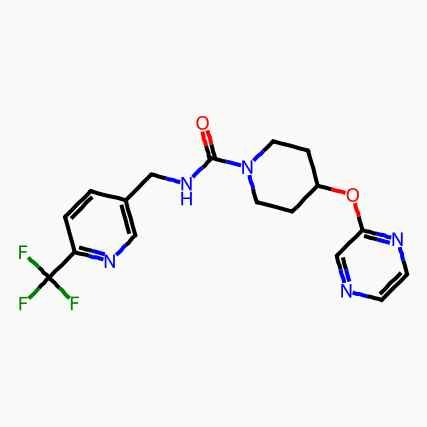 O=C(NCc1ccc(C(F)(F)F)nc1)N1CCC(Oc2cnccn2)CC1